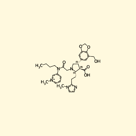 CCCCN(C(=O)CN1C[C@H](c2cc(CO)c3c(c2)OCO3)[C@@H](C(=O)O)[C@@H]1CCc1nccn1C)c1ccc[n+](C)c1